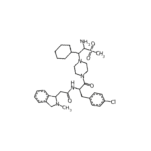 CN1Cc2ccccc2C1CC(=O)NC(Cc1ccc(Cl)cc1)C(=O)N1CCN(C(C2CCCCC2)C(N)S(C)(=O)=O)CC1